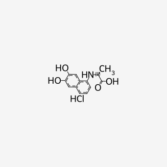 C[C@H](Nc1cccc2cc(O)c(O)cc12)C(=O)O.Cl